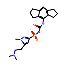 CN(C)CCc1cc(S(=O)(=O)NC(=O)Nc2c3c(cc4c2CCC4)CCC3)nn1C